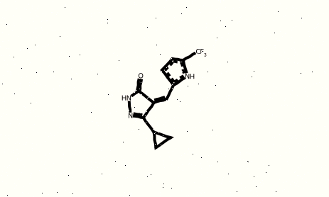 O=C1NN=C(C2CC2)C1=Cc1ccc(C(F)(F)F)[nH]1